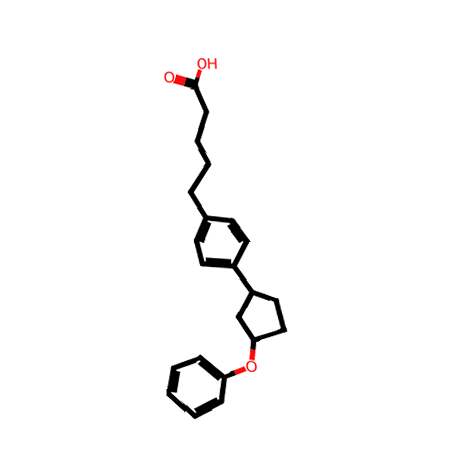 O=C(O)CCCCc1ccc(C2CCC(Oc3ccccc3)C2)cc1